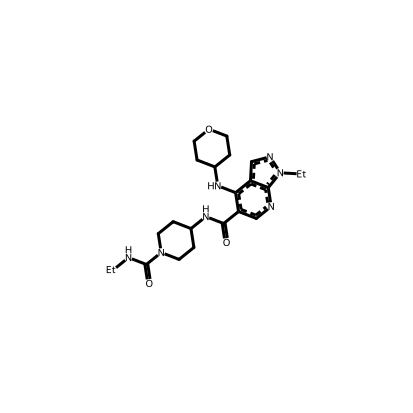 CCNC(=O)N1CCC(NC(=O)c2cnc3c(cnn3CC)c2NC2CCOCC2)CC1